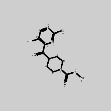 CC(C)(C)OC(=O)N1CCC(C(=O)c2nc(Cl)ncc2F)CC1